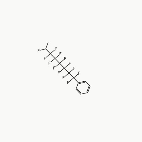 CC(F)C(F)(F)C(F)(F)C(F)(F)C(F)(F)C(F)(F)C(F)(F)c1ccccc1